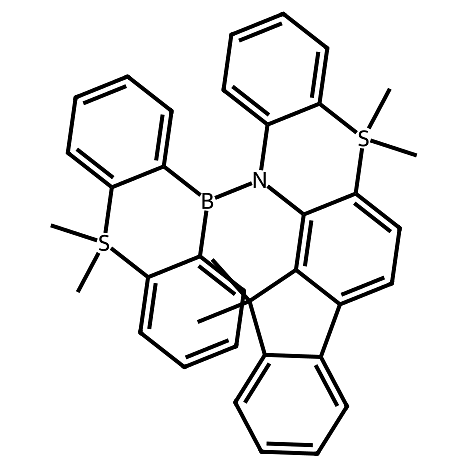 CC1(C)c2ccccc2-c2ccc3c(c21)N(B1c2ccccc2S(C)(C)c2ccccc21)c1ccccc1S3(C)C